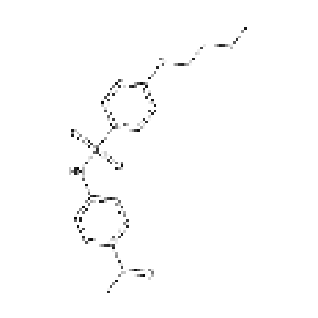 CCCCOc1ccc(S(=O)(=O)Nc2ccc(C(C)=O)cc2)cc1